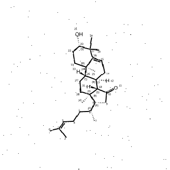 CC(C)=CCC[C@@H](C)[C@H]1CC(=O)[C@H]2[C@@H]3CC=C4C(C)(C)[C@@H](O)CC[C@]4(C)[C@H]3CC[C@]12C